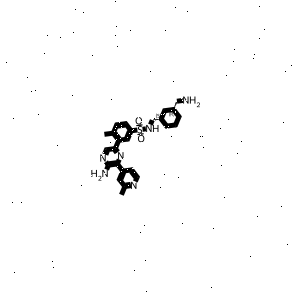 Cc1cc(-c2nc(-c3cc(S(=O)(=O)NC[C@H]4CCC[C@@H](CN)C4)ccc3C)cnc2N)ccn1